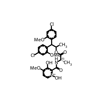 COc1cc(Cl)ccc1C(c1ccc(Cl)cc1OC)C(C)OC(=O)[C@H](C)NC(=O)c1c(O)c(OC)cc[n+]1O